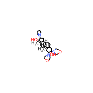 C[C@]12CC(N3CCOCC3)C(O)(N3CCOCC3)CC1CC[C@@H]1[C@H]2CC[C@]2(C)C(O)C(N3CCCC3)C[C@@H]12